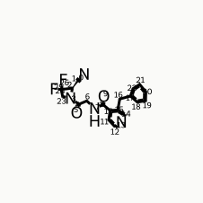 N#C[C@H]1N(C(=O)CNC(=O)c2ccncc2Cc2ccccc2)CC1(F)F